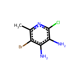 Cc1nc(Cl)c(N)c(N)c1Br